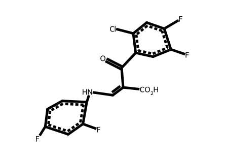 O=C(O)C(=CNc1ccc(F)cc1F)C(=O)c1cc(F)c(F)cc1Cl